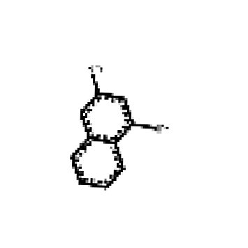 CC(C)c1cc(N=O)cc2ccccc12